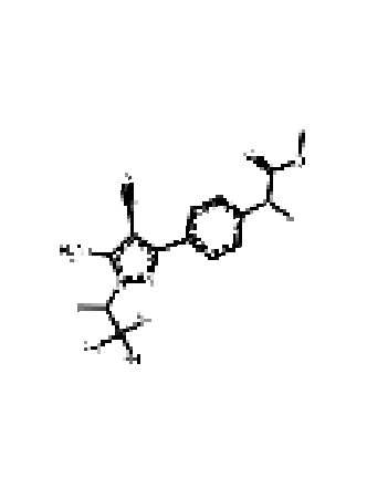 [2H]C([2H])([2H])C(C)n1nc(-c2ccc(C(C)C(=O)OC)cc2)c(C#N)c1N